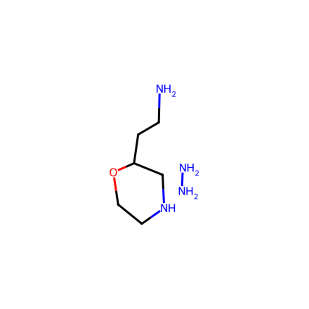 NCCC1CNCCO1.NN